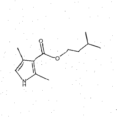 Cc1c[nH]c(C)c1C(=O)OCCC(C)C